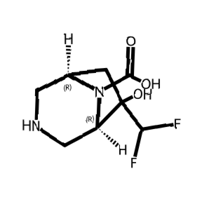 O=C(O)N1[C@H]2CNC[C@@H]1C(O)(C(F)F)C2